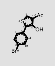 CC(=O)c1csc(-c2ccc(Br)cc2)c1O